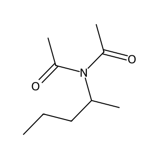 CCCC(C)N(C(C)=O)C(C)=O